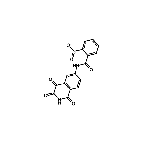 O=C1NC(=O)c2ccc(NC(=O)c3ccccc3[N+](=O)[O-])cc2C1=O